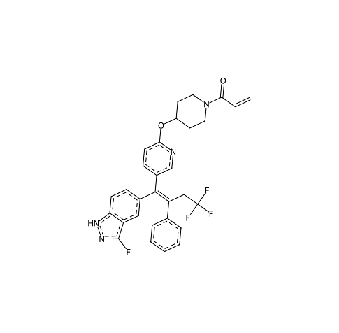 C=CC(=O)N1CCC(Oc2ccc(C(=C(CC(F)(F)F)c3ccccc3)c3ccc4[nH]nc(F)c4c3)cn2)CC1